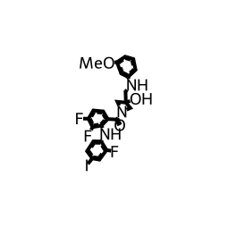 COc1cccc(NCC2(O)CN(C(=O)c3ccc(F)c(F)c3Nc3ccc(I)cc3F)C2)c1